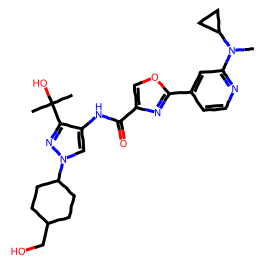 CN(c1cc(-c2nc(C(=O)Nc3cn(C4CCC(CO)CC4)nc3C(C)(C)O)co2)ccn1)C1CC1